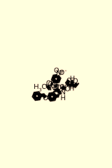 CC(C)CN(C[C@@H](O)[C@H](Cc1ccc(OCc2ccccc2)cc1)NC(=O)OC1CO[C@H]2OCC[C@@H]12)S(=O)(=O)c1ccc([N+](=O)[O-])cc1